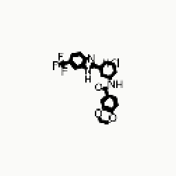 Cl.O=C(NC1CCCC(c2nc3ccc(C(F)(F)F)cc3[nH]2)C1)c1ccc2c(c1)OCCO2